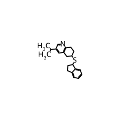 CC(C)c1cnc2c(c1)CC(SC1CCc3ccccc31)CC2